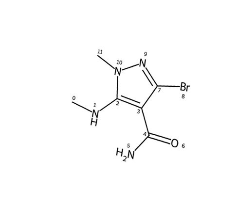 CNc1c(C(N)=O)c(Br)nn1C